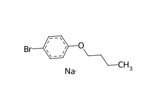 CCCCOc1ccc(Br)cc1.[Na]